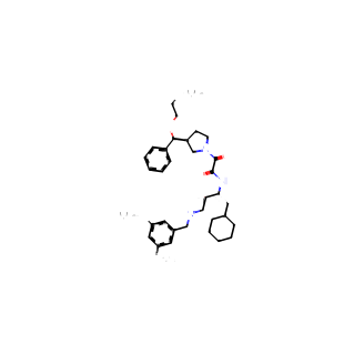 COCCOC(c1ccccc1)C1CCN(C(=O)C(=O)N[C@@H](CC2CCCCC2)[C@@H](O)CNCc2cc(OC)cc(OC)c2)C1